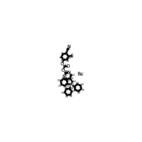 N#Cc1ccc(OC(=O)Oc2ncc(C[P+](c3ccccc3)(c3ccccc3)c3ccccc3)cn2)cc1F.[Br-]